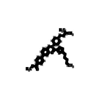 CCCCCc1ccc(C(=O)N(Cc2ccc(-c3ccc(C(=O)OC)cc3)cc2)C2CCN(CCC(C)C)CC2)s1